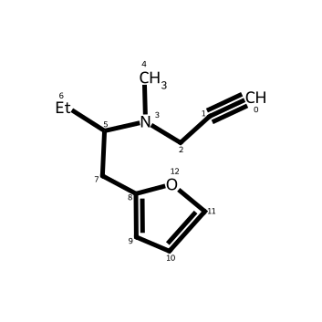 C#CCN(C)C(CC)Cc1ccco1